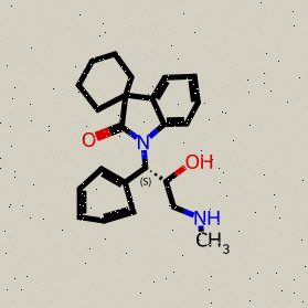 CNCC(O)[C@H](c1ccccc1)N1C(=O)C2(CCCCC2)c2ccccc21